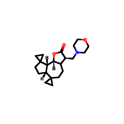 O=C1O[C@H]2C(CCC3(CC3)[C@@H]3CCC4(CC4)[C@@H]32)[C@@H]1CN1CCOCC1